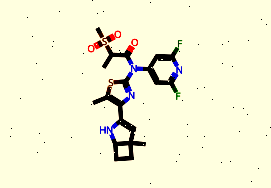 Cc1sc(N(C(=O)C(C)S(C)(=O)=O)c2cc(F)nc(F)c2)nc1C1=CC2(C)CCC2N1